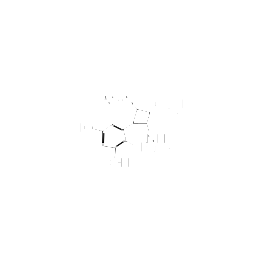 CNC1C(C(=O)O)C(N)C1c1cc(O)cc(O)c1C(C)(C)C